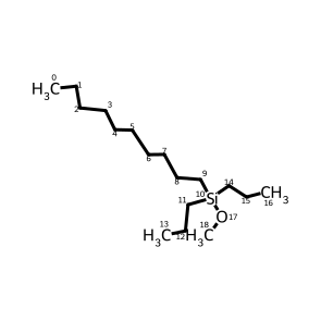 CCCCCCCCCC[Si](CCC)(CCC)OC